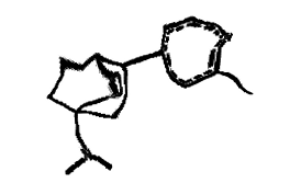 Cc1cc(C2CC3(N(C)C)CCC2O3)ccn1